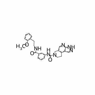 COc1ccccc1CCNC(=O)c1cccc(NC(=O)N2CCc3c(cnc4[nH]ncc34)C2)c1